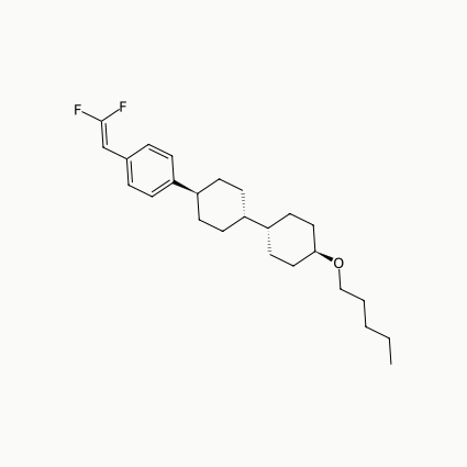 CCCCCO[C@H]1CC[C@H]([C@H]2CC[C@H](c3ccc(C=C(F)F)cc3)CC2)CC1